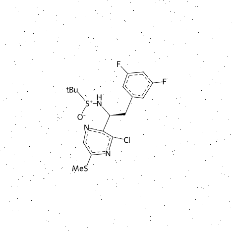 CSc1cnc([C@H](Cc2cc(F)cc(F)c2)N[S+]([O-])C(C)(C)C)c(Cl)n1